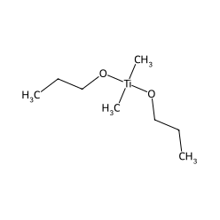 CCC[O][Ti]([CH3])([CH3])[O]CCC